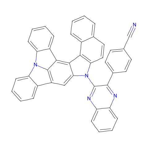 N#Cc1ccc(-c2nc3ccccc3nc2-n2c3ccc4ccccc4c3c3c4c5ccccc5n5c6ccccc6c(cc32)c45)cc1